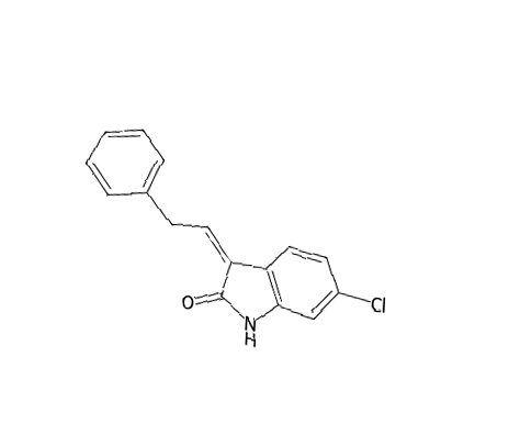 O=C1Nc2cc(Cl)ccc2C1=CCc1ccccc1